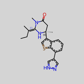 CC/C(C)=C1\N[C@](C)(c2csc3c(-c4cn[nH]c4)cccc23)CC(=O)N1C